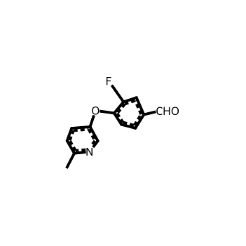 Cc1ccc(Oc2ccc(C=O)cc2F)cn1